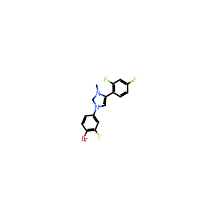 CN1CN(c2ccc(Br)c(F)c2)C=C1c1ccc(F)cc1F